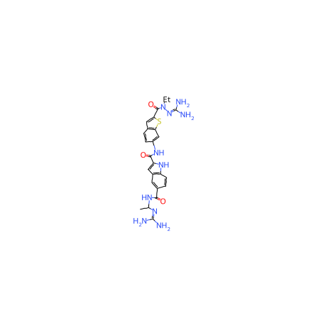 CCN(N=C(N)N)C(=O)c1cc2ccc(NC(=O)c3cc4cc(C(=O)NC(C)N=C(N)N)ccc4[nH]3)cc2s1